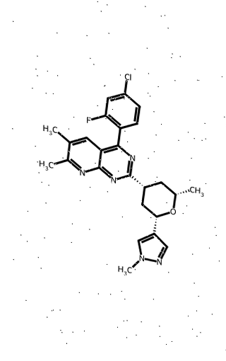 Cc1cc2c(-c3ccc(Cl)cc3F)nc([C@H]3C[C@@H](c4cnn(C)c4)O[C@@H](C)C3)nc2nc1C